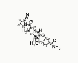 C[C@@H](c1ccc(C(N)=O)cc1)N1C(=O)[C@@H]2C[C@H]1CN2C[C@H](N)C(=O)N1CCC[C@H]1C#N